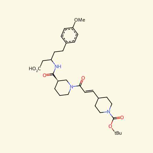 COc1ccc(CCC(CC(=O)O)NC(=O)[C@@H]2CCCN(C(=O)/C=C/C3CCN(C(=O)OC(C)(C)C)CC3)C2)cc1